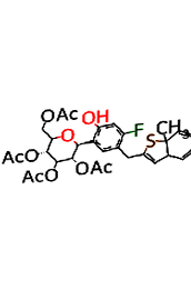 CC(=O)OCC1O[C@@H](c2cc(CC3=CC4C=CC=CC4(C)S3)c(F)cc2O)[C@H](OC(C)=O)C(OC(C)=O)[C@@H]1OC(C)=O